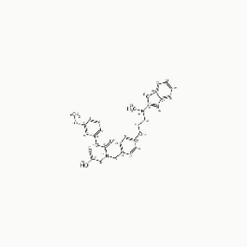 COc1cccc(OC(=O)N(CC(=O)O)Cc2ccc(OCCN(C)c3nc4ccccc4o3)cc2)c1